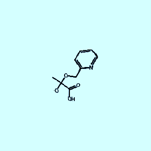 CC([O])(OCc1ccccn1)C(=O)O